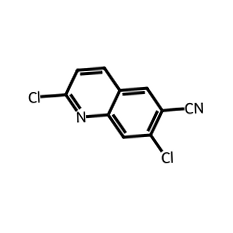 N#Cc1cc2ccc(Cl)nc2cc1Cl